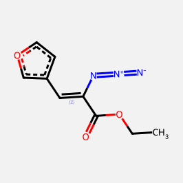 CCOC(=O)/C(=C/c1ccoc1)N=[N+]=[N-]